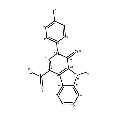 Cc1ccc(-n2nc(C(=O)O)c3c4ccccc4n(C)c3c2=O)cc1